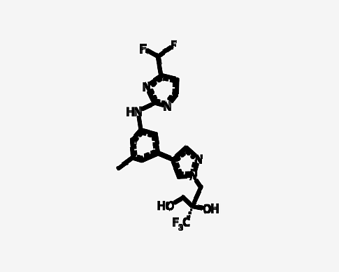 Cc1cc(Nc2nccc(C(F)F)n2)cc(-c2cnn(C[C@@](O)(CO)C(F)(F)F)c2)c1